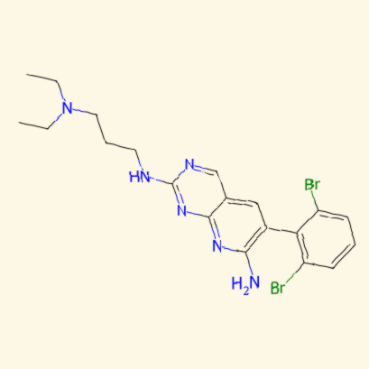 CCN(CC)CCCNc1ncc2cc(-c3c(Br)cccc3Br)c(N)nc2n1